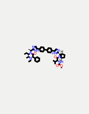 CC[C@H](C)N(C(=O)[C@@H](c1ccccc1)N(CC)CC)[C@@H](C)c1ncc(-c2ccc(-c3ccc(-c4cnc([C@@H]5[C@H]6CC[C@H](C6)N5C(=O)[C@@H](NC(=O)OC)C(C)C)[nH]4)cc3)cc2)[nH]1